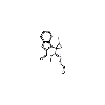 CN/C(=N\OC=O)C1(n2c(C=O)cc3ccccc32)CC1C